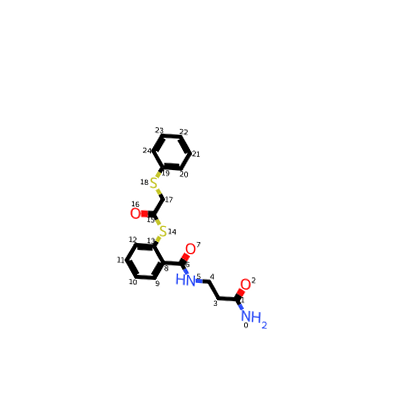 NC(=O)CCNC(=O)c1ccccc1SC(=O)CSc1ccccc1